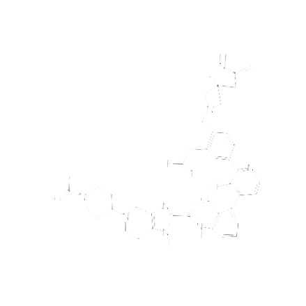 CC(=O)N1CCC(N2CCc3c(nc(C(=O)Nc4cccc(-c5ccnc(-c6ccc(CN7CC8(CNC(=O)C8)C7)c(OC(F)F)c6)c5Cl)c4Cl)n3C)C2)CC1